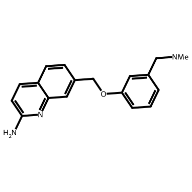 CNCc1cccc(OCc2ccc3ccc(N)nc3c2)c1